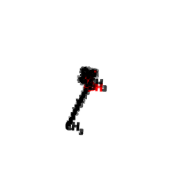 CCCCCCCCCCCCCCCCCCOC[C@@](C)(O)COC(c1ccccc1)(c1ccccc1)c1ccccc1